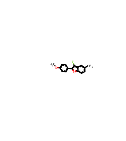 COc1ccc(-c2oc3ccc(C)cc3c2F)cc1